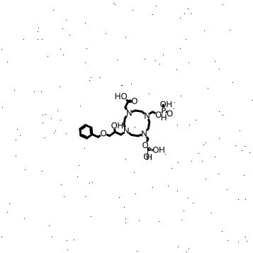 O=C(O)CN1CCN(CO[PH](=O)O)CCN(CO[PH](=O)O)CCN(CC(O)COCc2ccccc2)CC1